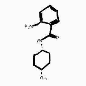 Nc1ccccc1C(=O)N[C@H]1CC[C@@H](O)CC1